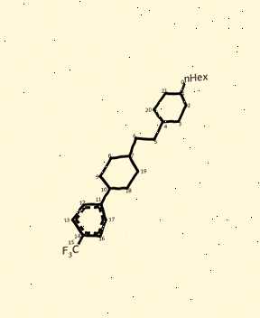 CCCCCCC1CCC(CCC2CCC(c3ccc(C(F)(F)F)cc3)CC2)CC1